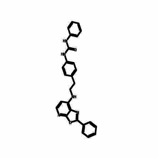 O=C(Nc1ccccc1)Nc1ccc(CCNc2ccnc3oc(-c4ccccc4)nc23)cc1